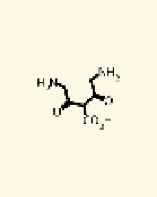 NCC(=O)C(C(=O)O)C(=O)CN